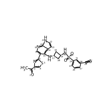 CC(=O)c1csc(-c2cnc3[nH]ccc3c2N[C@H]2C[C@H](NS(=O)(=O)c3cccc(C#N)c3)C2)n1